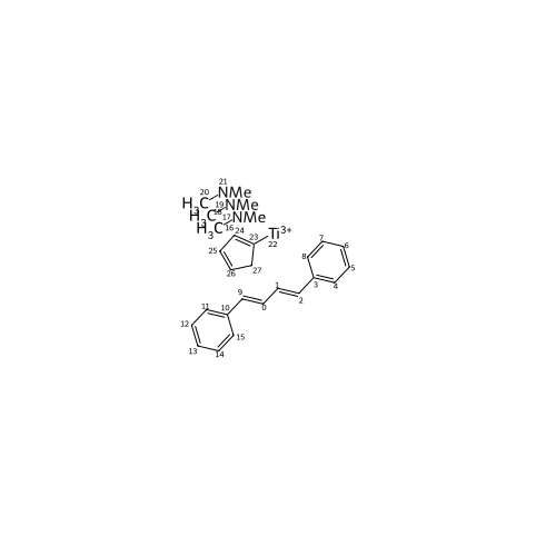 C(C=Cc1ccccc1)=Cc1ccccc1.C[N-]C.C[N-]C.C[N-]C.[Ti+3][C]1=CC=CC1